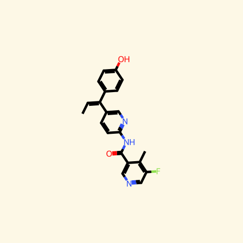 C/C=C(/c1ccc(O)cc1)c1ccc(NC(=O)c2cncc(F)c2C)nc1